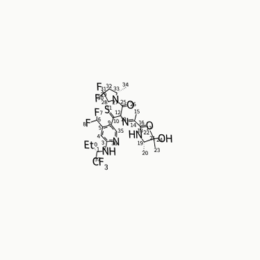 CC[C@H](Nc1cc(C(F)F)c(C(=S)C(/N=C(\C)C(=O)N[C@@H](C)C(C)(C)O)C(=O)N2CC(F)(F)C[C@@H]2C)cn1)C(F)(F)F